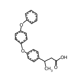 CC(CC(=O)O)c1ccc(Oc2ccc(Oc3ccccc3)cc2)cc1